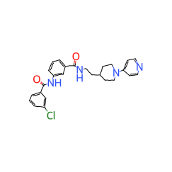 O=C(NCCC1CCN(c2ccncc2)CC1)c1cccc(NC(=O)c2cccc(Cl)c2)c1